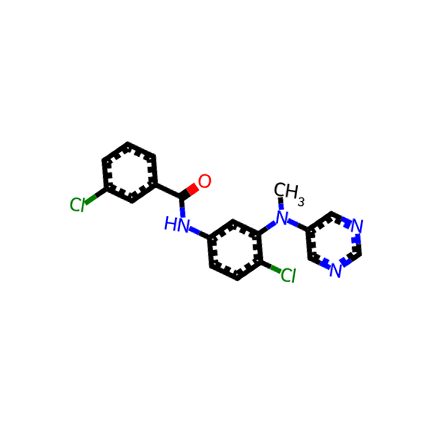 CN(c1cncnc1)c1cc(NC(=O)c2cccc(Cl)c2)ccc1Cl